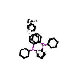 [Fe+2].c1cc(P(C2CCCCC2)C2CCCCC2)[c-](P(C2CCCCC2)C2CCCCC2)c1.c1cc[cH-]c1